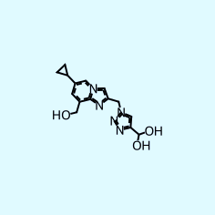 OCc1cc(C2CC2)cn2cc(Cn3cc(C(O)O)nn3)nc12